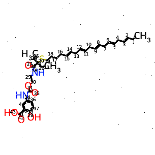 CCC=CCC=CCC=CCC=CCC=CCCCCSC(CC)(CC)C(=O)NCCOC(=O)Nc1ccc(O)c(C(=O)O)c1